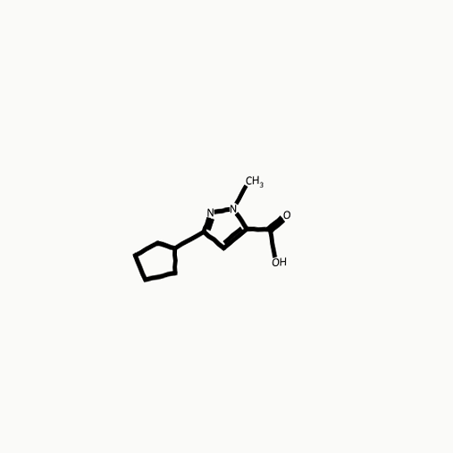 Cn1nc(C2CCCC2)cc1C(=O)O